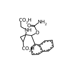 NC(=O)OC(c1cccc2ccccc12)C1(NCC(=O)O)CC1C(=O)O